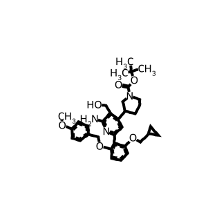 COc1ccc(COc2cccc(OCC3CC3)c2-c2cc(C3CCCN(C(=O)OC(C)(C)C)C3)c(CO)c(N)n2)cc1